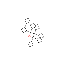 C1CC(C2CCC2C2(C3CCC3)OC(C3CCC3)(C3CCC3)C2(C2CCC2)C2CCC2)C1